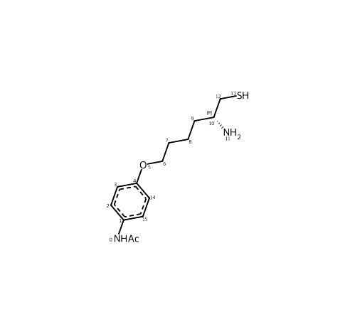 CC(=O)Nc1ccc(OCCCC[C@@H](N)CS)cc1